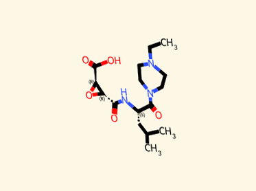 CCN1CCN(C(=O)[C@H](CC(C)C)NC(=O)[C@@H]2O[C@H]2C(=O)O)CC1